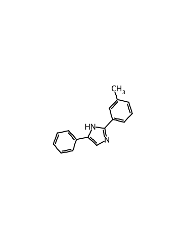 Cc1cccc(-c2ncc(-c3ccccc3)[nH]2)c1